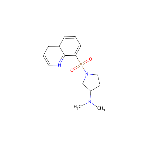 CN(C)C1CCN(S(=O)(=O)c2cccc3cccnc23)C1